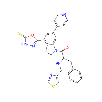 O=C(C(Cc1ccccc1)NCc1cscn1)N1CCc2c(-c3n[nH]c(=S)o3)cc(-c3ccncc3)cc21